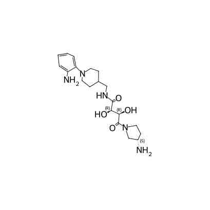 Nc1ccccc1N1CCC(CNC(=O)[C@H](O)[C@@H](O)C(=O)N2CC[C@H](N)C2)CC1